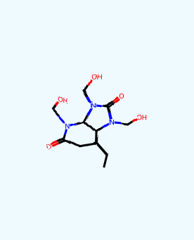 CCC1CC(=O)N(CO)C2C1N(CO)C(=O)N2CO